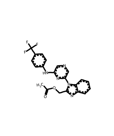 CC(=O)OCc1nc2ccccc2n1-c1cncc(Nc2ccc(C(F)(F)F)cc2)n1